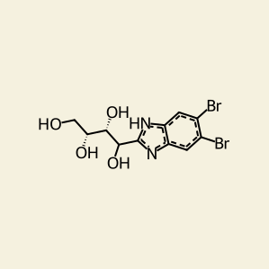 OC[C@@H](O)[C@H](O)C(O)c1nc2cc(Br)c(Br)cc2[nH]1